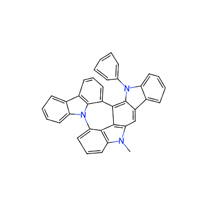 Cn1c2cc3c4ccccc4n(-c4ccccc4)c3c3c4cccc5c6ccccc6n(c6cccc1c6c32)c54